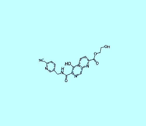 N#Cc1ccc(CNC(=O)c2ncc3nc(C(=O)OCCO)ccc3c2O)cn1